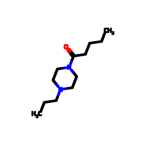 CCCCC(=O)N1CCN(CCC)CC1